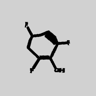 OC1=C(F)CC(F)C=C1F